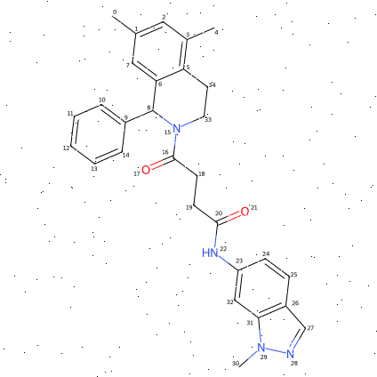 Cc1cc(C)c2c(c1)C(c1ccccc1)N(C(=O)CCC(=O)Nc1ccc3cnn(C)c3c1)CC2